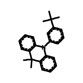 CC(C)(C)c1cccc(N2c3ccccc3C(C)(C)c3ccccc32)c1